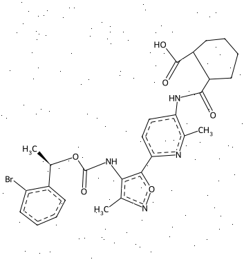 Cc1nc(-c2onc(C)c2NC(=O)O[C@H](C)c2ccccc2Br)ccc1NC(=O)C1CCCCC1C(=O)O